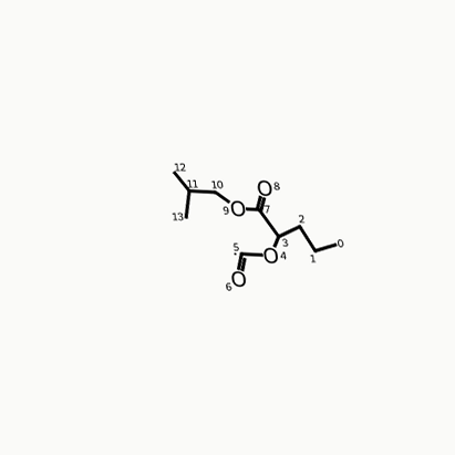 CCCC(O[C]=O)C(=O)OCC(C)C